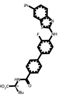 CCC(C)[C@H](NC(=O)c1ccc(-c2ccc(Nc3nc4ccc(C(C)C)cc4s3)c(F)c2)cc1)C(=O)O